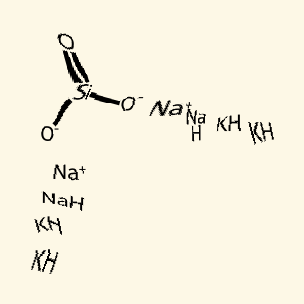 O=[Si]([O-])[O-].[KH].[KH].[KH].[KH].[Na+].[Na+].[NaH].[NaH]